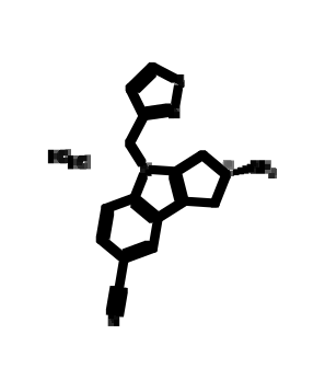 Cl.Cl.N#Cc1ccc2c(c1)c1c(n2Cc2ccsn2)C[C@H](N)C1